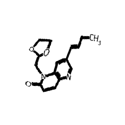 CC/C=C/c1cnc2ccc(=O)n(CC3OCCO3)c2c1